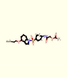 CNCCOc1cccc2c1ccn2S(=O)(=O)c1ccc(NC(=O)COC(=O)C(F)(F)F)cc1